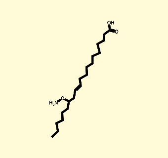 CCCCCCC(C/C=C/CCCCCCCCCC(=O)O)ON